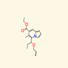 C=CCOC(CC)c1c(C)c(C(=O)OCC)cc2cccn12